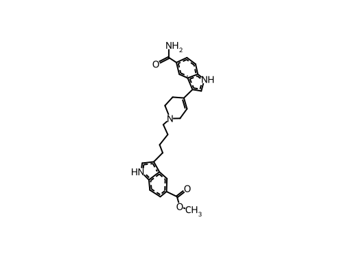 COC(=O)c1ccc2[nH]cc(CCCCN3CC=C(c4c[nH]c5ccc(C(N)=O)cc45)CC3)c2c1